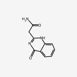 NC(=O)Cc1nc(=O)c2ccccc2[nH]1